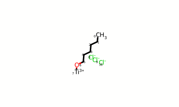 CCCCCC[O][Ti+3].[Cl-].[Cl-].[Cl-]